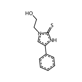 OCCn1cc(-c2ccccc2)[nH]c1=S